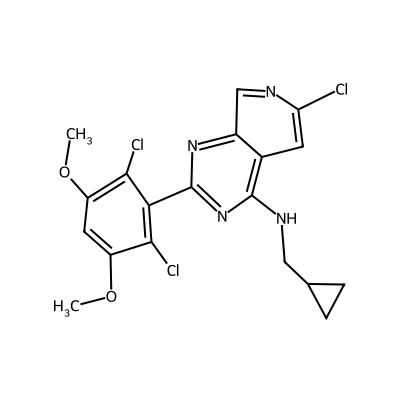 COc1cc(OC)c(Cl)c(-c2nc(NCC3CC3)c3cc(Cl)ncc3n2)c1Cl